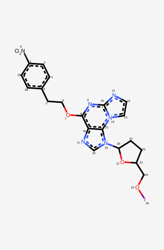 O=[N+]([O-])c1ccc(CCOc2nc3nccn3c3c2ncn3C2CCC(COI)O2)cc1